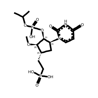 CO[C@@H]1[C@@H](CCP(=O)(O)O)C[C@H](n2ccc(=O)[nH]c2=O)[C@@H]1OP(=O)(O)OC(C)C